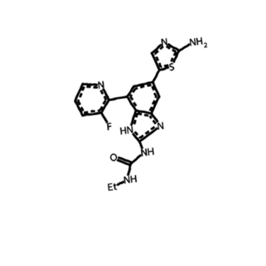 CCNC(=O)Nc1nc2cc(-c3cnc(N)s3)cc(-c3ncccc3F)c2[nH]1